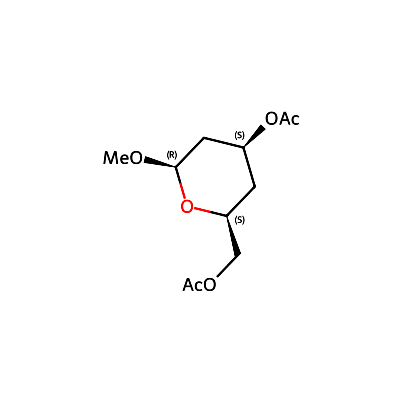 CO[C@H]1C[C@@H](OC(C)=O)C[C@@H](COC(C)=O)O1